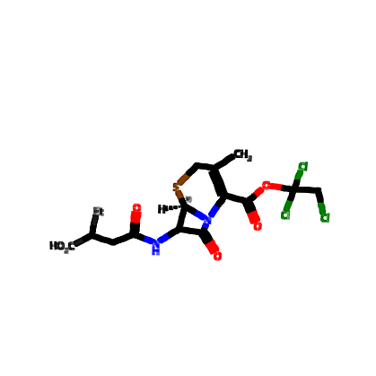 CCC(CC(=O)NC1C(=O)N2C(C(=O)OC(Cl)(Cl)CCl)=C(C)CS[C@H]12)C(=O)O